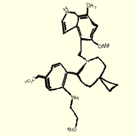 COCCNc1cc(C(=O)O)ccc1C1CC2(CCN1Cc1c(OC)cc(C)c3[nH]ccc13)CC2